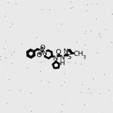 Cc1cnc(NC(=O)N(C2CCCC2)C2CCN(S(=O)(=O)Cc3ccccc3)CC2)s1